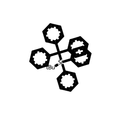 CC(C)(C)[Si](c1ccccc1)(c1ccccc1)C(c1ccccc1)(c1ccccc1)c1ccccc1